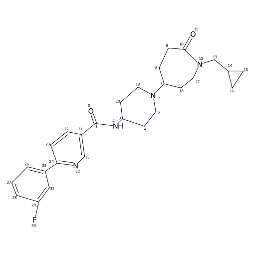 O=C(NC1CCN(C2CCC(=O)N(CC3CC3)CC2)CC1)c1ccc(-c2cccc(F)c2)nc1